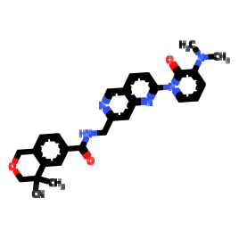 CN(C)c1cccn(-c2ccc3cnc(CNC(=O)c4ccc5c(c4)C(C)(C#N)COC5)cc3n2)c1=O